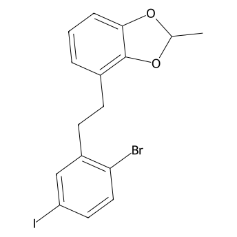 CC1Oc2cccc(CCc3cc(I)ccc3Br)c2O1